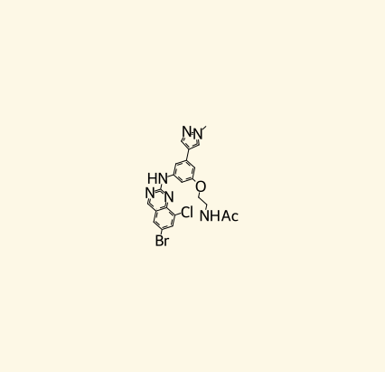 CC(=O)NCCOc1cc(Nc2ncc3cc(Br)cc(Cl)c3n2)cc(-c2cnn(C)c2)c1